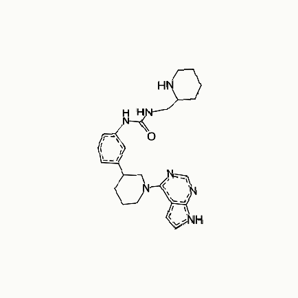 O=C(NCC1CCCCN1)Nc1cccc(C2CCCN(c3ncnc4[nH]ccc34)C2)c1